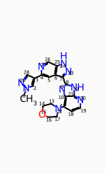 Cn1cc(-c2cc3c(-c4nc5c(N6CCOCC6)ccnc5[nH]4)n[nH]c3cn2)cn1